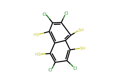 Sc1c(Cl)c(Cl)c(S)c2c(S)c(Cl)c(Cl)c(S)c12